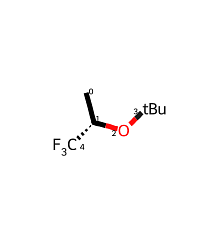 C[C@H](OC(C)(C)C)C(F)(F)F